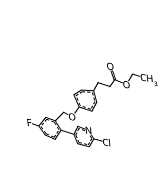 CCOC(=O)CCc1ccc(OCc2cc(F)ccc2-c2ccc(Cl)nc2)cc1